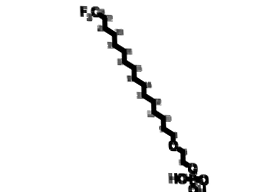 O=P(O)(O)OCCOCCCCCCCCCCCCCCCC(F)(F)F